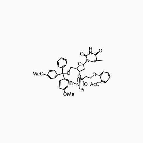 COc1ccc(C(OC[C@H]2O[C@@H](n3cc(C)c(=O)[nH]c3=O)C[C@@H]2O[PH](O)(CCOc2ccccc2OC(C)=O)N(C(C)C)C(C)C)(c2ccccc2)c2ccc(OC)cc2)cc1